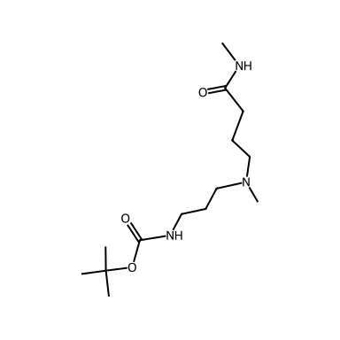 CNC(=O)CCCN(C)CCCNC(=O)OC(C)(C)C